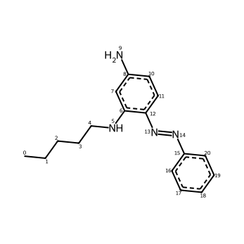 CCCCCNc1cc(N)ccc1N=Nc1ccccc1